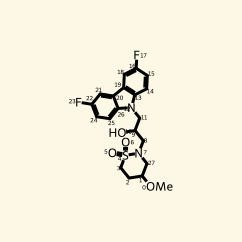 COC1CCS(=O)(=O)N(CC(O)Cn2c3ccc(F)cc3c3cc(F)ccc32)C1